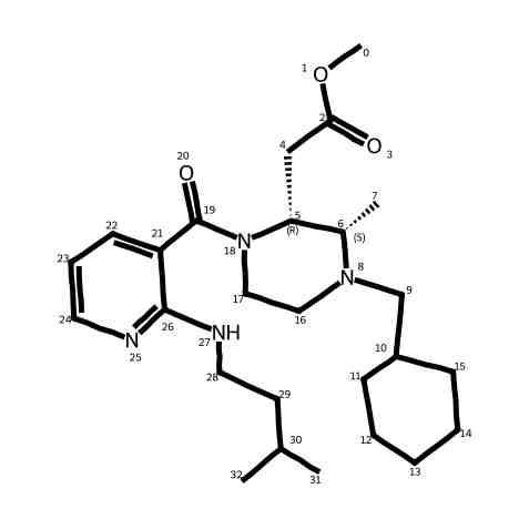 COC(=O)C[C@@H]1[C@H](C)N(CC2CCCCC2)CCN1C(=O)c1cccnc1NCCC(C)C